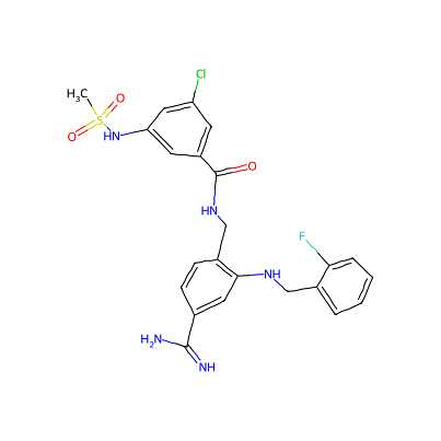 CS(=O)(=O)Nc1cc(Cl)cc(C(=O)NCc2ccc(C(=N)N)cc2NCc2ccccc2F)c1